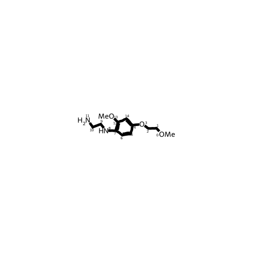 COCCOc1ccc(NCCN)c(OC)c1